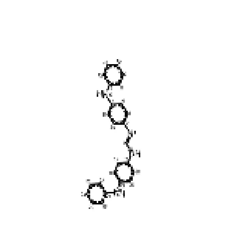 C(=Nc1ccc(Nc2ccccc2)cc1)Nc1ccc(Nc2ccccc2)cc1